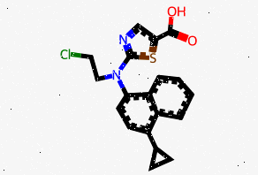 O=C(O)c1cnc(N(CCCl)c2ccc(C3CC3)c3ccccc23)s1